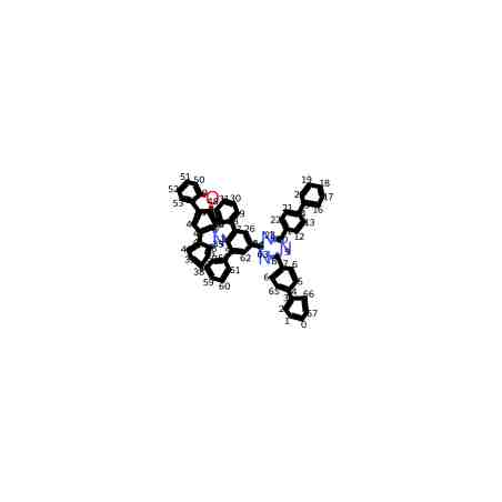 c1ccc(-c2ccc(-c3nc(-c4ccc(-c5ccccc5)cc4)nc(-c4cc(-c5ccccc5)c(-n5c6ccccc6c6cc7c(cc65)oc5ccccc57)c(-c5ccccc5)c4)n3)cc2)cc1